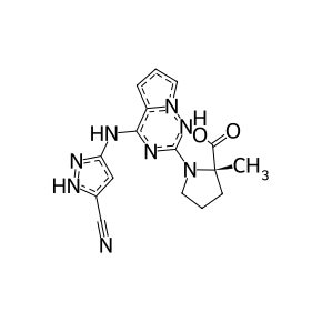 C[C@@]1(C(=O)O)CCCN1c1nc(Nc2cc(C#N)[nH]n2)c2cccn2n1